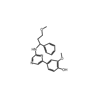 COCCC(Nc1cncc(-c2ccc(O)c(OC)c2)n1)c1ccccc1